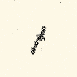 O=C(NCc1ccc(OCc2nc3ccccc3s2)cc1)[C@H](O)[C@@H](O)C(=O)N1CCN(c2ccccc2)CC1